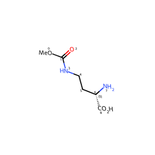 COC(=O)NCC[C@H](N)C(=O)O